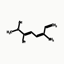 B/C(C=C)=C/C=C(\C(C)C)N(C)C(C)=O